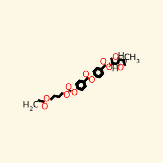 C=CC(=O)OCCCCOC(=O)Oc1ccc(C(=O)Oc2ccc(C(=O)O[C@H]3CO[C@H]4[C@H]3OC[C@H]4C)cc2)cc1